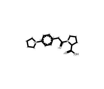 O=C(O)C1CCCN1C(=O)Cc1ccc(N2CCCC2)cc1